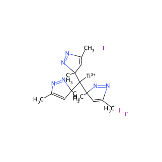 CC1=CC(C)([C]([Ti+3])(C2(C)C=C(C)N=N2)C2(C)C=C(C)N=N2)N=N1.[I-].[I-].[I-]